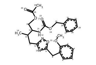 COc1ccccc1Cc1nc(CC(C)C(COC(C)=O)NC(=O)OCc2ccccc2)no1